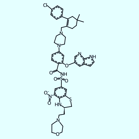 CC1(C)CCC(CN2CCN(c3ccc(C(=O)NS(=O)(=O)c4cc5c(c([N+](=O)[O-])c4)N[C@H](CCN4CCOCC4)CS5)c(Oc4cnc5[nH]ccc5c4)c3)CC2)=C(c2ccc(Cl)cc2)C1